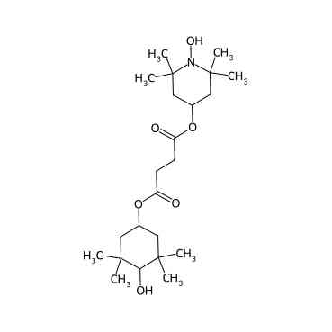 CC1(C)CC(OC(=O)CCC(=O)OC2CC(C)(C)N(O)C(C)(C)C2)CC(C)(C)C1O